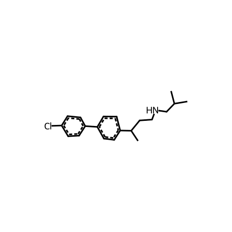 CC(C)CNCCC(C)c1ccc(-c2ccc(Cl)cc2)cc1